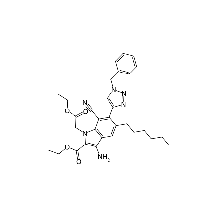 CCCCCCc1cc2c(N)c(C(=O)OCC)n(CC(=O)OCC)c2c(C#N)c1-c1cn(Cc2ccccc2)nn1